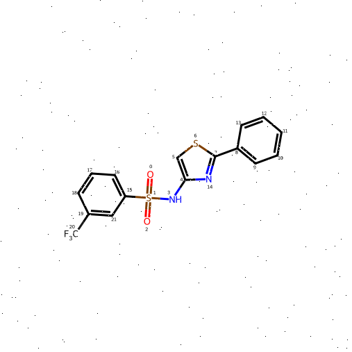 O=S(=O)(Nc1csc(-c2ccccc2)n1)c1cccc(C(F)(F)F)c1